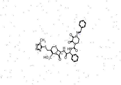 Cn1nnnc1SCC1=C(C(=O)O)N2C(=O)[C@H](NC(=O)C(NC(=O)N3CCN(/N=C/c4ccccc4)C(=O)C3=O)c3ccccc3)C2SC1